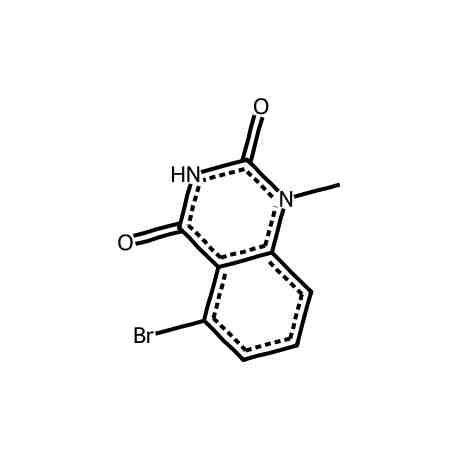 Cn1c(=O)[nH]c(=O)c2c(Br)cccc21